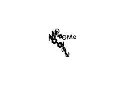 CO[C@H]1C[C@H](n2c(=O)n(C)c3nnc4ccc(-c5ccc(COCCN(C)C)nc5)cc4c32)C1